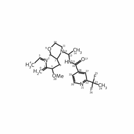 C=C(/N=C\C)C(CC1COCCN1C(C)NC(=O)c1ccnc(C(C)(F)F)c1)OC